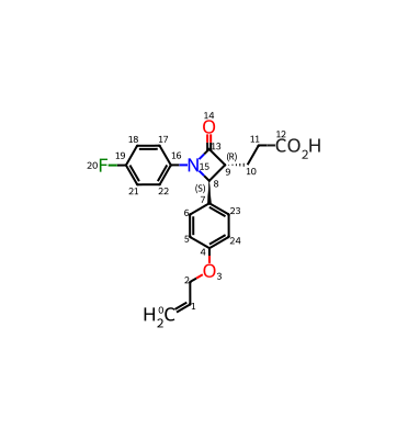 C=CCOc1ccc([C@@H]2[C@@H](CCC(=O)O)C(=O)N2c2ccc(F)cc2)cc1